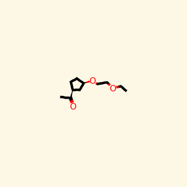 CCOCCO[C@@H]1CC[C@H](C(C)=O)C1